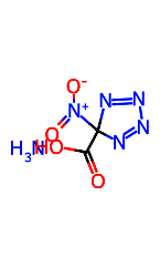 N.O=C(O)C1([N+](=O)[O-])N=NN=N1